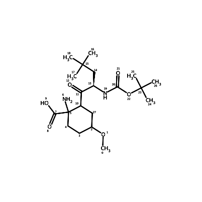 COC1CCC(N)(C(=O)O)C(C(=O)[C@@H](CC(C)(C)C)NC(=O)OC(C)(C)C)C1